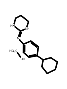 O=S(=O)(O)O.c1cc(C2CCCCC2)ccc1N=C1NCCCN1